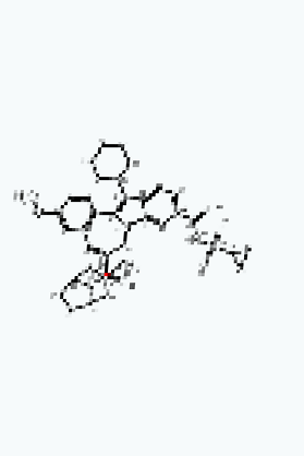 COc1ccc2c(c1)C=C(C(=O)N1C3CCC1CN(C)C3)Cn1c-2c(C2CCCCC2)c2ccc(C(=O)NS(=O)(=O)C3CC3)cc21